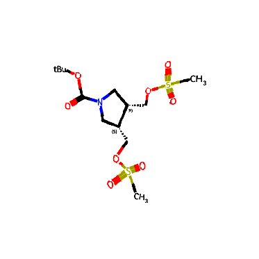 CC(C)(C)OC(=O)N1C[C@@H](COS(C)(=O)=O)[C@@H](COS(C)(=O)=O)C1